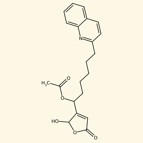 CC(=O)OC(CCCCCc1ccc2ccccc2n1)C1=CC(=O)OC1O